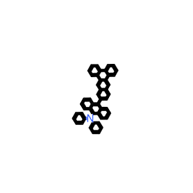 c1ccc(N(c2ccccc2)c2c3ccccc3c(-c3ccc4cc5c6ccccc6c6ccccc6c5cc4c3)c3ccccc23)cc1